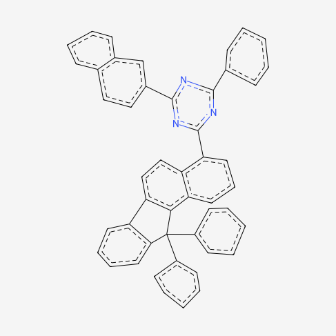 c1ccc(-c2nc(-c3ccc4ccccc4c3)nc(-c3cccc4c5c(ccc34)-c3ccccc3C5(c3ccccc3)c3ccccc3)n2)cc1